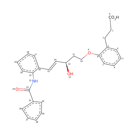 O=C(O)CCc1ccccc1OCC[C@@H](O)/C=C/c1ccccc1NC(=O)c1ccccc1